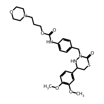 COc1ccc(C2CSC(=O)N(Cc3ccc(NC(=O)OCCCN4CCOCC4)cc3)N2)cc1OC